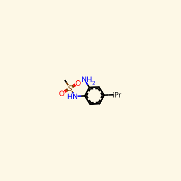 CC(C)c1ccc(NS(C)(=O)=O)c(N)c1